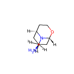 [2H]C([2H])([2H])N1[C@@H]2CCO[C@@H]1C[C@@H](N)C2